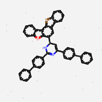 C1=C(c2ccc(-c3ccccc3)cc2)N=C(c2ccc(-c3ccccc3)cc2)NC1c1cc2c3ccccc3sc2c2c1oc1ccccc12